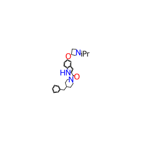 CC(C)N1CCC(Oc2ccc3[nH]c(C(=O)N4CCC(Cc5ccccc5)CC4)cc3c2)C1